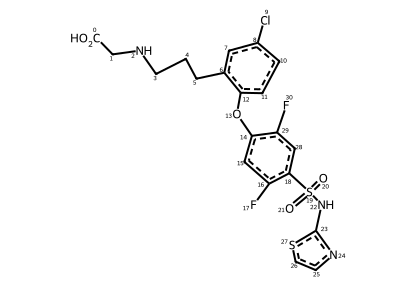 O=C(O)CNCCCc1cc(Cl)ccc1Oc1cc(F)c(S(=O)(=O)Nc2nccs2)cc1F